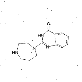 O=c1[nH]c(N2CCCNCC2)nc2ccccc12